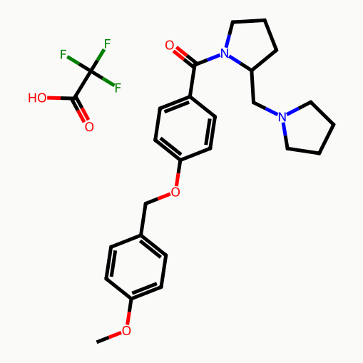 COc1ccc(COc2ccc(C(=O)N3CCCC3CN3CCCC3)cc2)cc1.O=C(O)C(F)(F)F